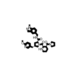 COc1ccc(C[C@@H]2C[C@@H](C(=O)NCc3ccc4c(cnn4C)c3)N(C(=O)[C@@H]3NCCC[C@@H]3C(=O)N3CCCC3)C2)cn1